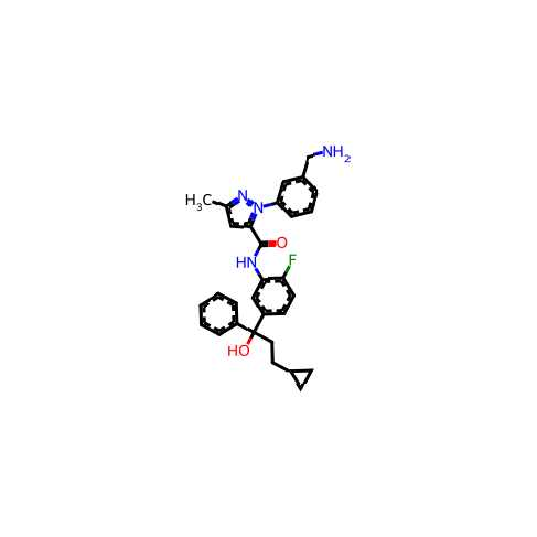 Cc1cc(C(=O)Nc2cc(C(O)(CCC3CC3)c3ccccc3)ccc2F)n(-c2cccc(CN)c2)n1